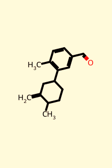 C=C1CC(c2cc(C=O)ccc2C)CCC1C